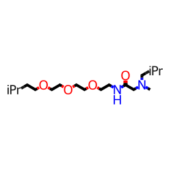 CC(C)CCOCCOCCOCCNC(=O)CN(C)CC(C)C